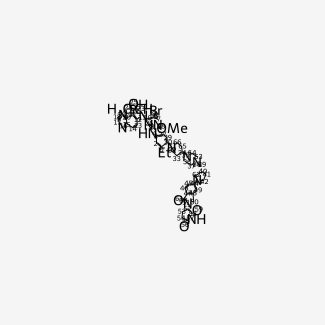 CCc1cc(Nc2ncc(Br)c(Nc3ccc4nccnc4c3P(C)(C)=O)n2)c(OC)cc1N1CCC(N2CCN(C[C@@H]3CCN(c4ccc5c(c4)CN(C4CCC(=O)NC4=O)C5=O)C3)CC2)CC1